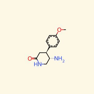 COc1ccc([C@@H]2CC(=O)NC[C@H]2N)cc1